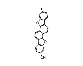 Cc1ccc2c(c1)oc1c2ccc2c1ccc1c3ccc(C#N)cc3oc12